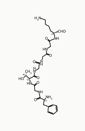 C[C@@H](O)[C@H](NC(=O)CNC(=O)[C@@H](N)Cc1ccccc1)C(=O)NCC(=O)NCC(=O)NCC(=O)N[C@H]([C]=O)CCCCN